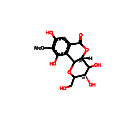 COc1c(O)cc2c(c1O)C1OC(CO)[C@@H](O)C(O)[C@H]1OC2=O